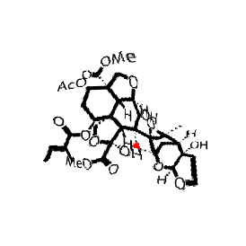 C/C=C(\C)C(=O)O[C@H]1C[C@@H](OC(C)=O)[C@@]2(C(=O)OC)CO[C@H]3[C@@H](O)[C@@](C)([C@]45O[C@@]4(C)[C@@H]4C[C@H]5O[C@@H]5OC=C[C@@]54O)[C@H]4[C@]1(CO[C@]4(O)C(=O)OC)[C@@H]32